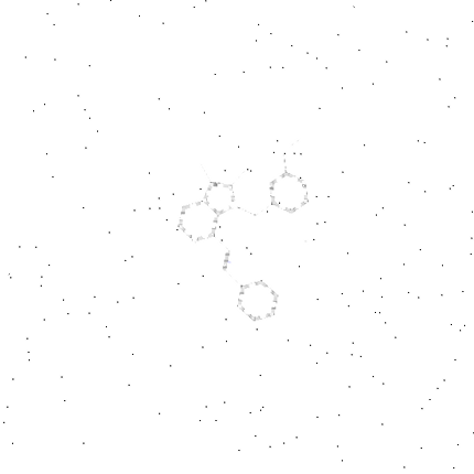 COc1cccc(Cn2c(C)c(C)c3ccnc(/C=C/c4ccccc4)c32)c1.Cl